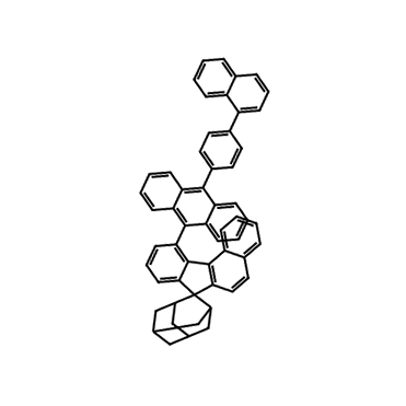 c1cc(-c2c3ccccc3c(-c3ccc(-c4cccc5ccccc45)cc3)c3ccccc23)c2c(c1)C1(c3ccc4ccccc4c3-2)C2CC3CC(C2)CC1C3